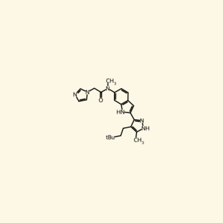 Cc1[nH]nc(-c2cc3ccc(N(C)C(=O)Cn4ccnc4)cc3[nH]2)c1CCC(C)(C)C